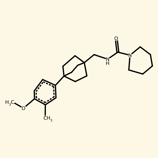 COc1ccc(C23CCC(CNC(=O)N4CCCCC4)(CC2)CC3)cc1C